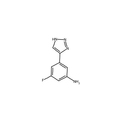 Nc1cc(F)cc(-c2c[nH]nn2)c1